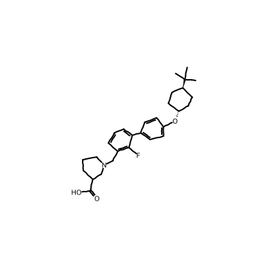 CC(C)(C)[C@H]1CC[C@H](Oc2ccc(-c3cccc(CN4CCCC(C(=O)O)C4)c3F)cc2)CC1